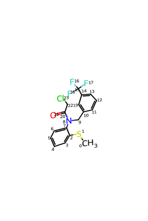 CSc1ccccc1N(Cc1cccc(C(F)(F)F)c1)C(=O)CCl